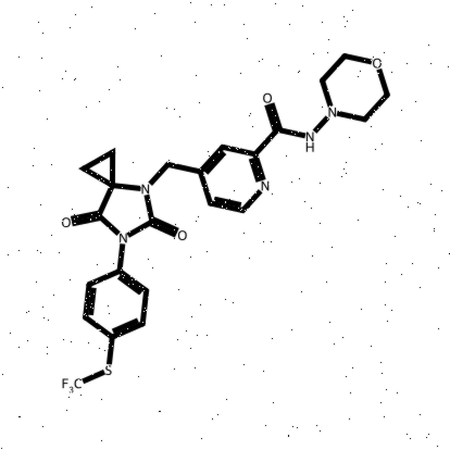 O=C(NN1CCOCC1)c1cc(CN2C(=O)N(c3ccc(SC(F)(F)F)cc3)C(=O)C23CC3)ccn1